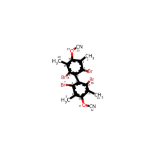 Cc1c(Br)c(-c2c(Br)c(C)c(OC#N)c(C)c2Br)c(Br)c(C)c1OC#N